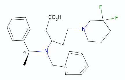 C[C@@H](c1ccccc1)N(Cc1ccccc1)C(CCN1CCCC(F)(F)C1)CC(=O)O